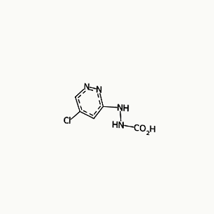 O=C(O)NNc1cc(Cl)cnn1